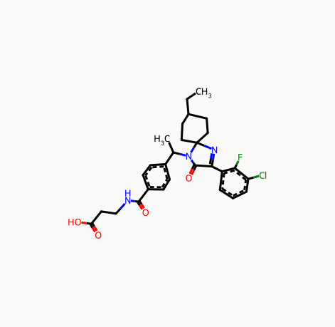 CCC1CCC2(CC1)N=C(c1cccc(Cl)c1F)C(=O)N2C(C)c1ccc(C(=O)NCCC(=O)O)cc1